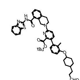 Cc1c(OC2CCC(CCC=O)CC2)cccc1-c1ccc(N2CCc3cccc(C(=O)Nc4nc5ccccc5s4)c3C2)nc1C(=O)OC(C)(C)C